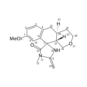 COc1ccc2c(c1)C1(NC(=S)N(C)C1=O)[C@H]1COCC[C@@H]1C2